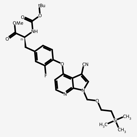 COC(=O)[C@H](Cc1ccc(Oc2ccnc3c2c(C#N)cn3COCC[Si](C)(C)C)c(F)c1)NC(=O)OC(C)(C)C